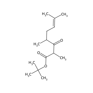 CC(C)=CCC(C)C(=O)C(C)C(=O)OC(C)(C)C